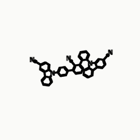 N#Cc1ccc2c(c1)c1ccccc1n2-c1ccc(-c2cccc(-c3ccccc3-n3c4ccccc4c4ccc(C#N)cc43)c2C#N)cc1